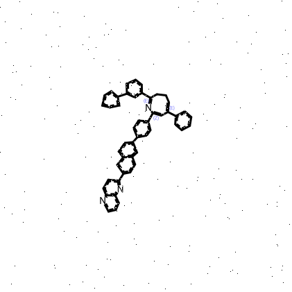 C1=C(c2ccc(-c3ccc4cc(-c5ccc6ncccc6n5)ccc4c3)cc2)\N=C(\c2cccc(-c3ccccc3)c2)CC\C=C/1c1ccccc1